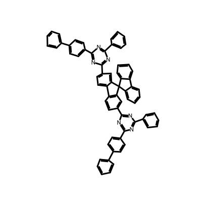 c1ccc(-c2ccc(-c3nc(-c4ccccc4)nc(-c4ccc5c(c4)C4(c6ccccc6-c6ccccc64)c4cc(-c6nc(-c7ccccc7)nc(-c7ccc(-c8ccccc8)cc7)n6)ccc4-5)n3)cc2)cc1